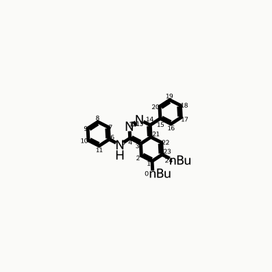 CCCCc1cc2c(Nc3ccccc3)nnc(-c3ccccc3)c2cc1CCCC